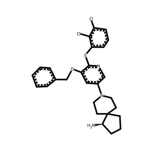 N[C@@H]1CCCC12CCN(c1cnc(Sc3cccc(Cl)c3Cl)c(OCc3ccccc3)c1)CC2